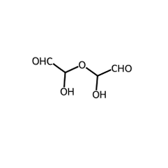 O=CC(O)OC(O)C=O